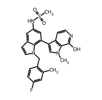 Cc1cc(F)ccc1Cn1ccc2cc(NS(C)(=O)=O)cc(-c3cn(C)c4c(O)nccc34)c21